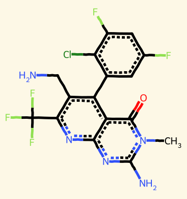 Cn1c(N)nc2nc(C(F)(F)F)c(CN)c(-c3cc(F)cc(F)c3Cl)c2c1=O